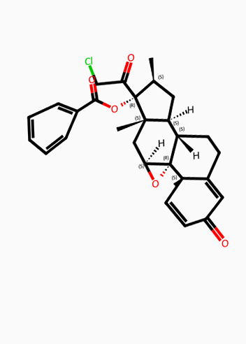 C[C@H]1C[C@H]2[C@@H]3CCC4=CC(=O)C=C[C@]4(C)[C@]34O[C@H]4C[C@]2(C)[C@@]1(OC(=O)c1ccccc1)C(=O)CCl